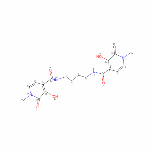 Cn1ccc(C(=O)NCCCCNC(=O)c2ccn(C)c(=O)c2O)c(O)c1=O